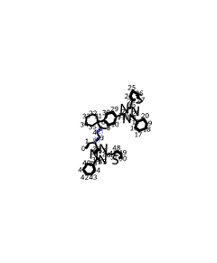 C=C/C(=C\C=C(/C)C1(c2ccc(-c3nc(-c4ccccc4)nc(-c4cccs4)n3)cc2)CCCCC1)c1nc(-c2ccccc2)nc(-c2cccs2)n1